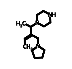 CC=C(CN1CCCC1)C(C)N1CCNCC1